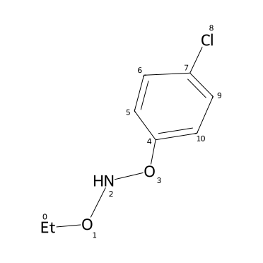 CCONOc1ccc(Cl)cc1